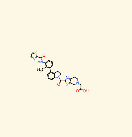 Cc1c(NC(=O)c2nccs2)cccc1-c1cccc2c1CCN2C(=O)c1nc2c(s1)CN(CC(=O)O)CC2